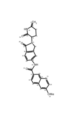 C=C1CCC(N2Cc3cc(NC(=O)c4ccc5cc(OC)cnc5c4)ccc3C2=O)C(=O)N1